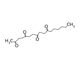 CCCCCCC(=O)CCC(=O)CCC(=O)CCC(C)=O